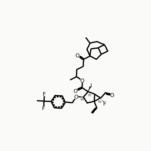 C=CC12C[C@@H](OCc3ccc(C(C)(F)F)cc3)[C@](I)(C(=O)OC(C)CCC(=O)C34CC(C)CC5CC(C3)C5C4)C1[C@@]2(F)C=O